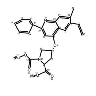 C=Cc1cc2c(O[C@@H]3C[C@@H](C(=O)OC)N(C(=O)OC(C)(C)C)C3)cc(-c3ccccc3)nc2cc1C